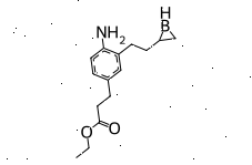 CCOC(=O)CCc1ccc(N)c(CCC2BC2)c1